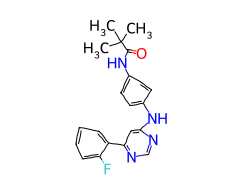 CC(C)(C)C(=O)Nc1ccc(Nc2cc(-c3ccccc3F)ncn2)cc1